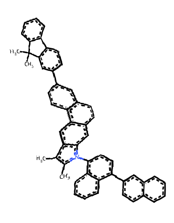 Cc1c(C)n(-c2ccc(-c3ccc4ccccc4c3)c3ccccc23)c2cc3ccc4cc(-c5ccc6c(c5)C(C)(C)c5ccccc5-6)ccc4c3cc12